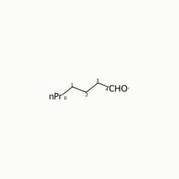 CCCCCC[C]=O